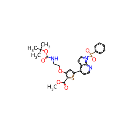 COC(=O)c1sc(-c2ccnc3c2ccn3S(=O)(=O)c2ccccc2)cc1OCCNC(=O)OC(C)(C)C